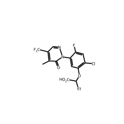 CCC(Oc1cc(-n2ncc(C(F)(F)F)c(C)c2=O)c(F)cc1Cl)C(=O)O